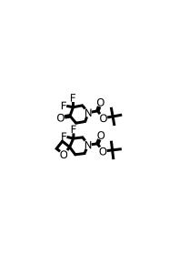 CC(C)(C)OC(=O)N1CCC(=O)C(F)(F)C1.CC(C)(C)OC(=O)N1CCC2(CCO2)C(F)(F)C1